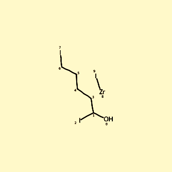 OC(I)CCCCI.[Zr][I]